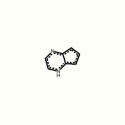 c1cc2ncc[nH]c-2c1